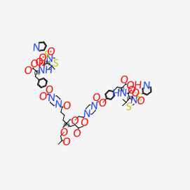 CC(=O)CC[C@](CCCC(=O)N1CCN(C(=O)Oc2ccc(C[C@H](NC(=O)[C@H]3N(S(=O)(=O)c4cccnc4)CSC3(C)C)C(=O)O)cc2)CC1)(COCC(C)=O)COCC(=O)N1CCN(C(=O)Oc2ccc(C[C@H](NC(=O)[C@H]3N(S(=O)(=O)c4cccnc4)CSC3(C)C)C(=O)O)cc2)CC1